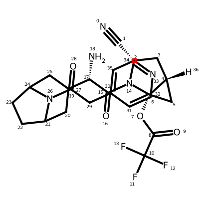 N#C[C@@H]1C[C@@H]2C[C@@]2(OC(=O)C(F)(F)F)N1C(=O)[C@@H](N)C1CC2CCC(C1)N2C(=O)Cc1ccncc1